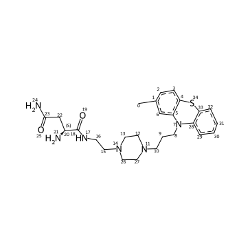 Cc1ccc2c(c1)N(CCCN1CCN(CCNC(=O)[C@@H](N)CC(N)=O)CC1)c1ccccc1S2